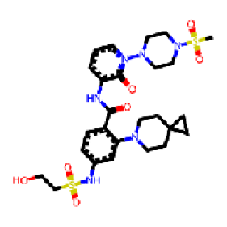 CS(=O)(=O)N1CCN(n2cccc(NC(=O)c3ccc(NS(=O)(=O)CCO)cc3N3CCC4(CC3)CC4)c2=O)CC1